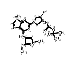 COc1nn(C)cc1Nc1nc(N2C[C@@H](F)[C@H](NC(=O)OC(C)(C)C)C2)nc2c1ncn2C